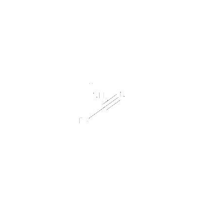 N.N#[C][Fe].[Fe]